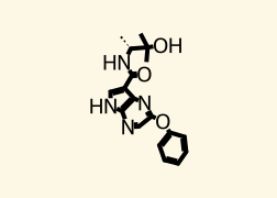 C[C@@H](NC(=O)c1c[nH]c2ncc(Oc3ccccc3)nc12)C(C)(C)O